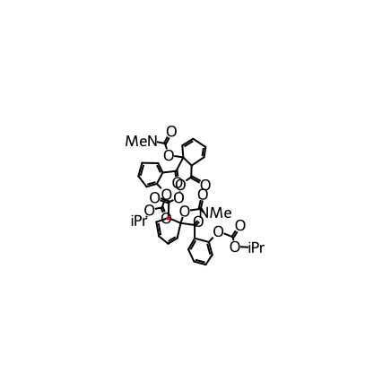 CNC(=O)OC1(C(=O)c2ccccc2OC(=O)OC(C)C)C=CC=CC1C(=O)OOC(=O)C1C=CC=CC1(OC(=O)NC)C(=O)c1ccccc1OC(=O)OC(C)C